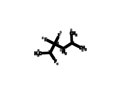 CC(C)[SiH2]C(F)(F)C(C)F